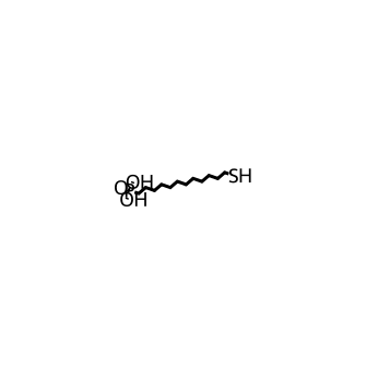 O=P(O)(O)CCCCCCCCCCCCS